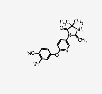 C=C1NC(C)(C)C(=O)N1c1ccc(Oc2ccc(C#N)c(C(C)C)c2)nc1